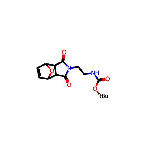 CC(C)(C)OC(=O)NCCN1C(=O)C2C3C=CC(O3)C2C1=O